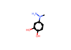 CN(N)c1ccc(O)c(O)c1